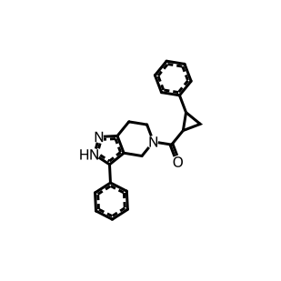 O=C(C1CC1c1ccccc1)N1CCc2n[nH]c(-c3ccccc3)c2C1